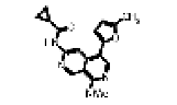 CNc1ncc(-c2ccc(C)o2)c2cc(NC(=O)C3CC3)ncc12